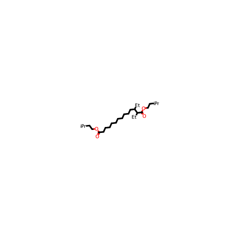 CCC(CCCCCCCCCCC(=O)OCCC(C)C)C(CC)C(=O)OCCC(C)C